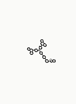 c1cc(-c2ccc(-c3ccc(N(c4ccc(-c5cc6ccccc6c6ccccc56)cc4)c4ccc(-c5cc6ccccc6c6ccccc56)cc4)cc3)cc2)cc(-c2cc3ccccc3o2)c1